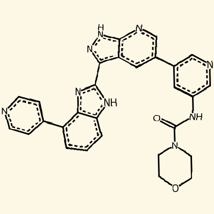 O=C(Nc1cncc(-c2cnc3[nH]nc(-c4nc5c(-c6ccncc6)cccc5[nH]4)c3c2)c1)N1CCOCC1